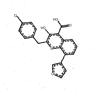 O=C(O)c1c(O)c(Cc2ccc(Cl)cc2)nc2c(-c3ccoc3)cccc12